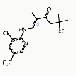 CCC(C)(C)CC(=O)/C(C)=C/Nc1ncc(C(F)(F)F)cc1Cl